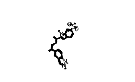 CC(CCC(C)c1cc2ccc(S(C)(=O)=O)cc2n1C)c1ccc2nn(C)cc2c1